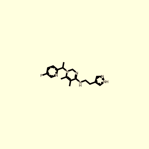 CC1=C(C)N(C(C)c2ccc(F)cn2)CN=C1NCCc1cn[nH]c1